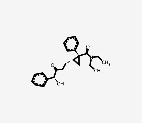 CCN(CC)C(=O)[C@]1(c2ccccc2)C[C@@H]1CCC(=O)[C@H](O)c1ccccc1